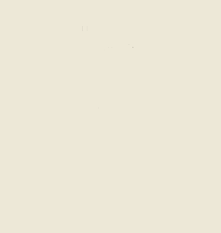 CCCCCCC[CH2][Co]([SH])[SH]